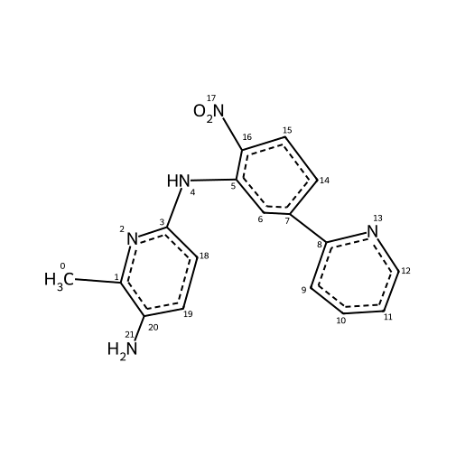 Cc1nc(Nc2cc(-c3ccccn3)ccc2[N+](=O)[O-])ccc1N